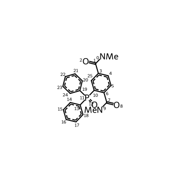 CNC(=O)c1ccc(C(=O)NC)c(P(=O)(c2ccccc2)c2ccccc2)c1